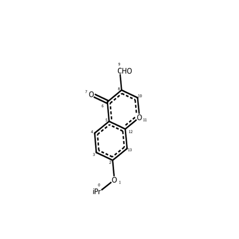 CC(C)Oc1ccc2c(=O)c(C=O)coc2c1